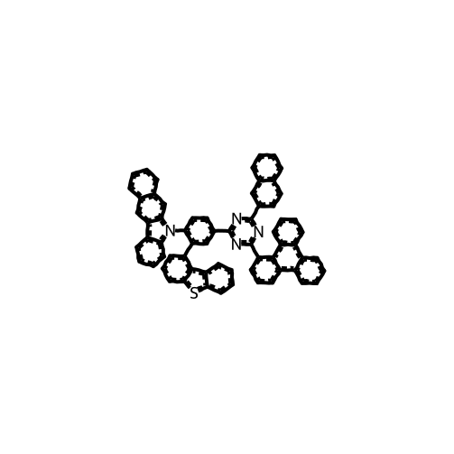 c1ccc2cc(-c3nc(-c4ccc(-n5c6ccccc6c6cc7ccccc7cc65)c(-c5cccc6sc7ccccc7c56)c4)nc(-c4cccc5c6ccccc6c6ccccc6c45)n3)ccc2c1